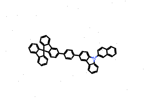 c1ccc2c(c1)-c1ccccc1C21c2ccccc2-c2cc(-c3ccc(-c4ccc5c(c4)c4ccccc4n5-c4ccc5ccccc5c4)cc3)ccc21